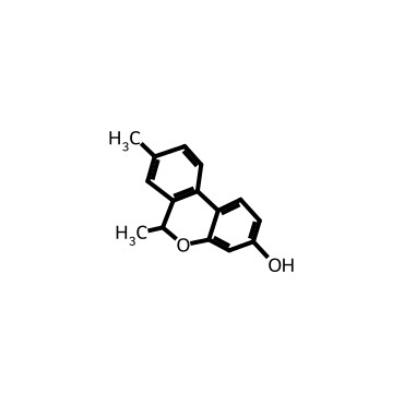 Cc1ccc2c(c1)C(C)Oc1cc(O)ccc1-2